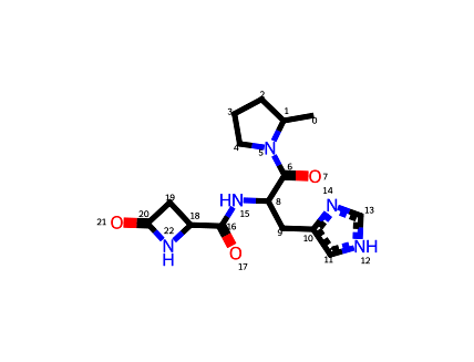 CC1CCCN1C(=O)C(Cc1c[nH]cn1)NC(=O)C1CC(=O)N1